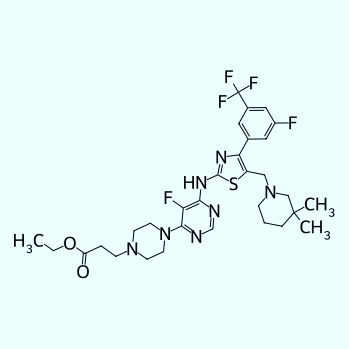 CCOC(=O)CCN1CCN(c2ncnc(Nc3nc(-c4cc(F)cc(C(F)(F)F)c4)c(CN4CCCC(C)(C)C4)s3)c2F)CC1